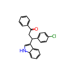 O=C(CC(c1ccc(Cl)cc1)c1c[nH]c2ccccc12)c1ccccc1